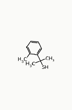 Cc1ccccc1C(C)(C)S